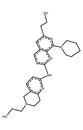 OCCc1cc2cnc(Nc3ccc4c(n3)CCN(CCO)C4)nc2c(N2CCCCC2)n1